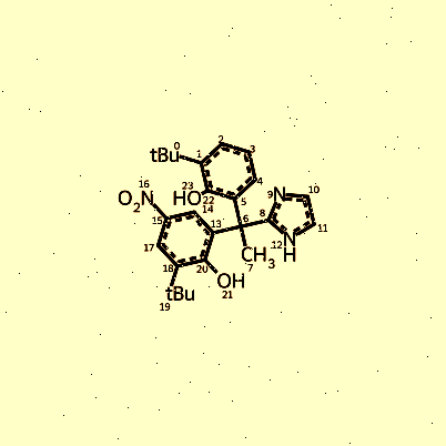 CC(C)(C)c1cccc(C(C)(c2ncc[nH]2)c2cc([N+](=O)[O-])cc(C(C)(C)C)c2O)c1O